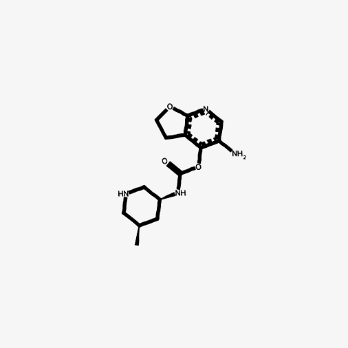 C[C@H]1CNC[C@@H](NC(=O)Oc2c(N)cnc3c2CCO3)C1